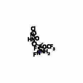 CC1C(c2cc(NC(=O)c3ccc(Cl)cn3)ccc2F)[C@@]1(COCC(F)(F)F)S/C(N)=N\CF